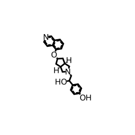 Oc1ccc(C(O)CN2C[C@H]3CC(Oc4cccc5cnccc45)C[C@H]3C2)cc1